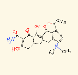 COC(=O)c1ccc(N(C)C)c2c1C(=O)C1=C(O)C3C(=O)C(C(N)=O)=C(O)CC3CC1C2